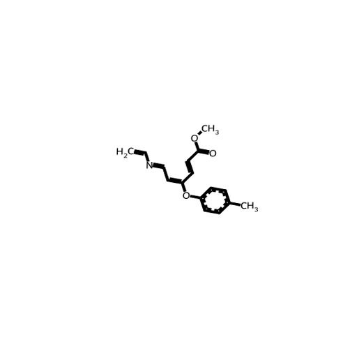 C=C/N=C/C=C(\C=C\C(=O)OC)Oc1ccc(C)cc1